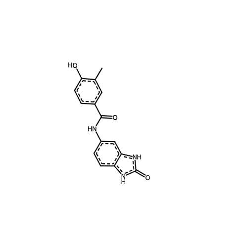 Cc1cc(C(=O)Nc2ccc3[nH]c(=O)[nH]c3c2)ccc1O